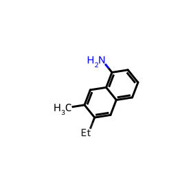 CCc1cc2cccc(N)c2cc1C